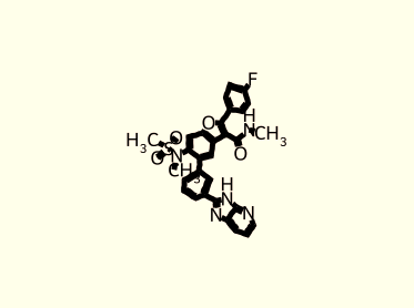 CNC(=O)c1c(-c2ccc(F)cc2)oc2cc(N(C)S(C)(=O)=O)c(-c3cccc(-c4nc5cccnc5[nH]4)c3)cc12